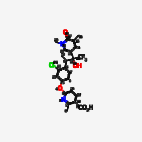 Cc1nc(Oc2ccc(C(C)C(O)(c3cc(C)c(=O)n(C)c3)C(F)(F)F)c(Cl)c2)ccc1C(=O)O